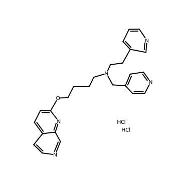 Cl.Cl.c1cncc(CCN(CCCCOc2ccc3ccncc3n2)Cc2ccncc2)c1